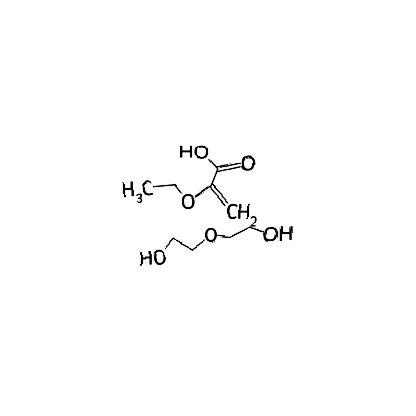 C=C(OCC)C(=O)O.OCCOCCO